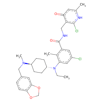 CCN(c1cc(Cl)cc(C(=O)NCc2c(Cl)[nH]c(C)cc2=O)c1C)[C@H]1CC[C@H](N(C)Cc2ccc3c(c2)OCO3)CC1